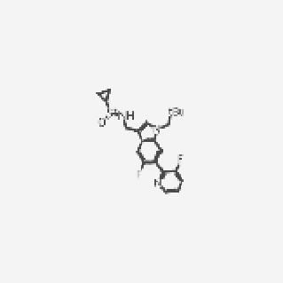 CC(C)(C)Cn1cc(CN[S+]([O-])C2CC2)c2cc(F)c(-c3ncccc3F)cc21